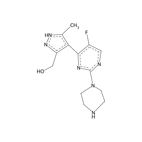 Cc1[nH]nc(CO)c1-c1nc(N2CCNCC2)ncc1F